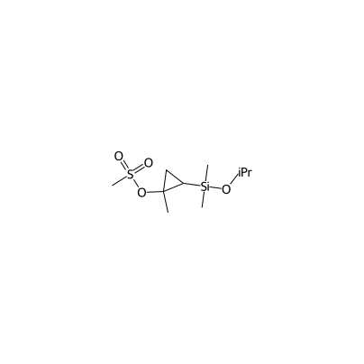 CC(C)O[Si](C)(C)C1CC1(C)OS(C)(=O)=O